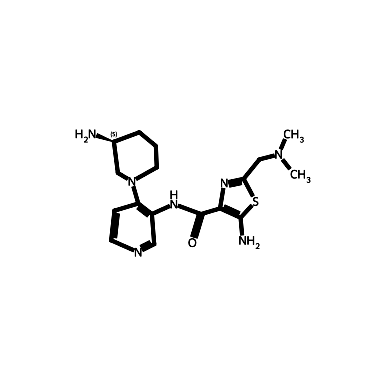 CN(C)Cc1nc(C(=O)Nc2cnccc2N2CCC[C@H](N)C2)c(N)s1